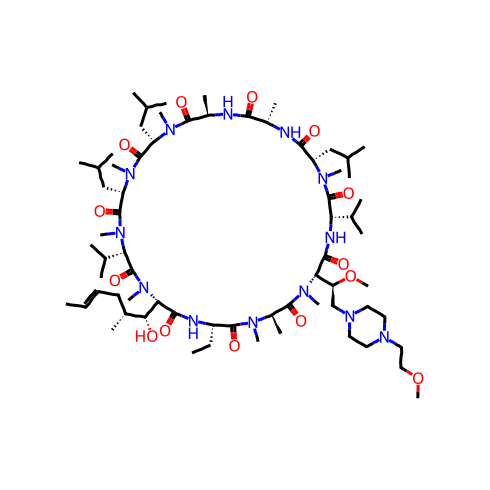 C/C=C/C[C@@H](C)[C@@H](O)[C@H]1C(=O)N[C@@H](CC)C(=O)N(C)[C@H](C)C(=O)N(C)[C@@H]([C@H](CN2CCN(CCOC)CC2)OC)C(=O)N[C@@H](C(C)C)C(=O)N(C)[C@@H](CC(C)C)C(=O)N[C@@H](C)C(=O)N[C@H](C)C(=O)N(C)[C@@H](CC(C)C)C(=O)N(C)[C@@H](CC(C)C)C(=O)N(C)[C@@H](C(C)C)C(=O)N1C